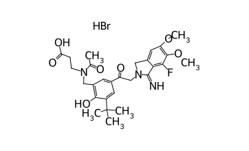 Br.COc1cc2c(c(F)c1OC)C(=N)N(CC(=O)c1cc(CN(CCC(=O)O)C(C)=O)c(O)c(C(C)(C)C)c1)C2